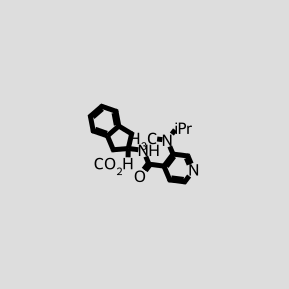 CC(C)N(C)c1cnccc1C(=O)NC1(C(=O)O)Cc2ccccc2C1